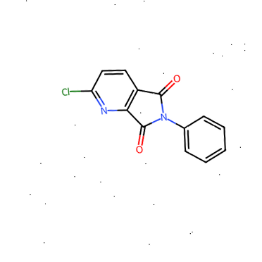 O=C1c2ccc(Cl)nc2C(=O)N1c1ccccc1